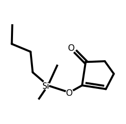 CCCC[Si](C)(C)OC1=CCCC1=O